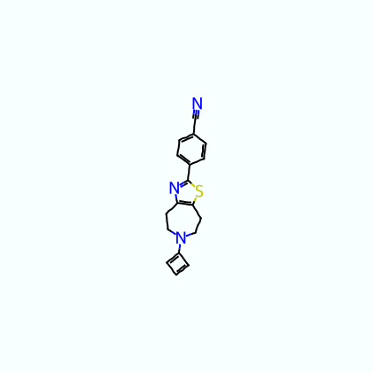 N#Cc1ccc(-c2nc3c(s2)CCN(C2=CC=C2)CC3)cc1